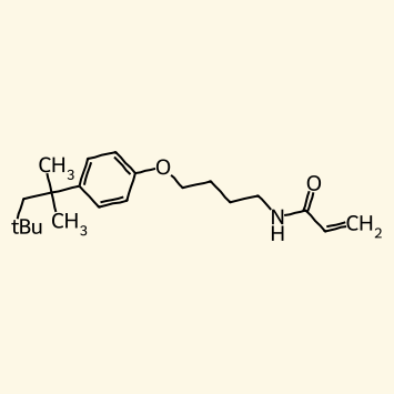 C=CC(=O)NCCCCOc1ccc(C(C)(C)CC(C)(C)C)cc1